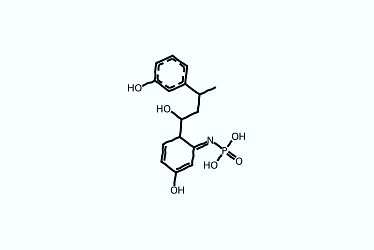 CC(CC(O)C1C=CC(O)=CC1=NP(=O)(O)O)c1cccc(O)c1